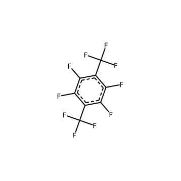 Fc1c(F)c(C(F)(F)F)c(F)c(F)c1C(F)(F)F